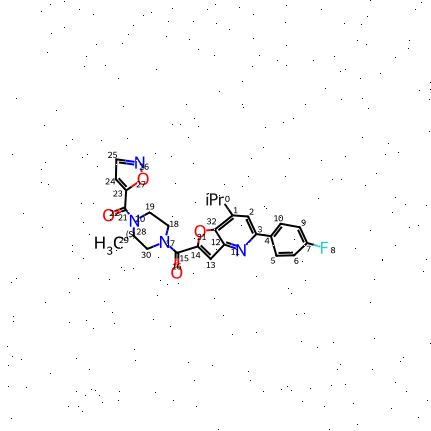 CC(C)c1cc(-c2ccc(F)cc2)nc2cc(C(=O)N3CCN(C(=O)c4ccno4)[C@@H](C)C3)oc12